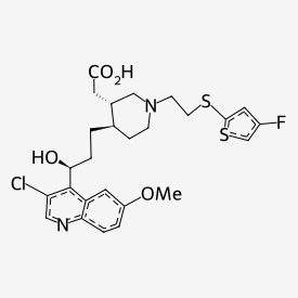 COc1ccc2ncc(Cl)c([C@@H](O)CC[C@@H]3CCN(CCSc4cc(F)cs4)C[C@H]3CC(=O)O)c2c1